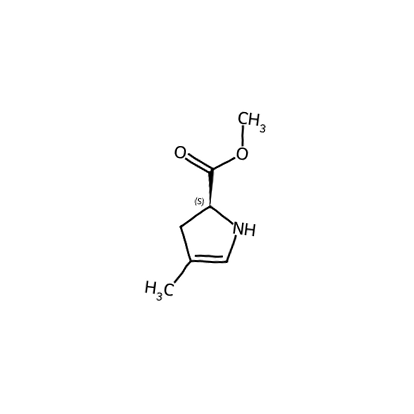 COC(=O)[C@@H]1CC(C)=CN1